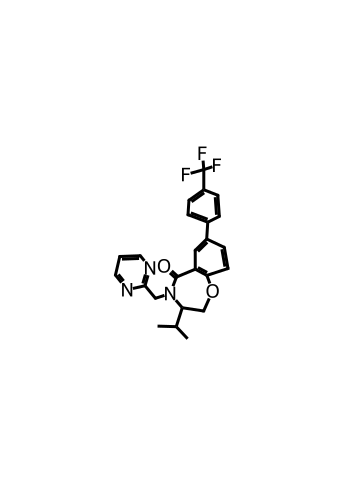 CC(C)C1COc2ccc(-c3ccc(C(F)(F)F)cc3)cc2C(=O)N1Cc1ncccn1